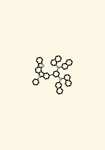 c1ccc(-n2c3ccc(-c4cc(N(c5ccc6ccccc6c5)c5cccc6ccccc56)cc(N(c5ccc6ccccc6c5)c5cccc6ccccc56)c4)cc3c3c4sc5ccccc5c4ccc32)cc1